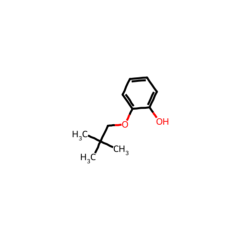 CC(C)(C)COc1ccccc1O